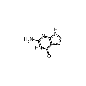 Nc1nc2[nH]cpc2c(=O)[nH]1